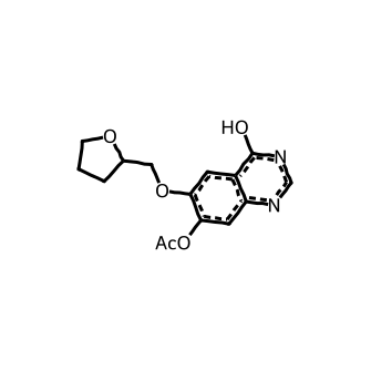 CC(=O)Oc1cc2ncnc(O)c2cc1OCC1CCCO1